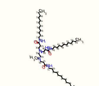 CCCCCCCCCCCCNC(=O)CCN(C)CCN(CCC(=O)NCCCCCCCCCCCC)CCC(=O)NCCCCCCCCCCCC